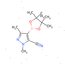 Cc1nn(C)c(C#N)c1B1OC(C)(C)C(C)(C)O1